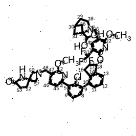 COc1nc(-c2cccc(-c3cccc4c3CC[C@@H]4Oc3nc(OC)c(CN4CCC5CC4(C(O)O)C5)cc3C(F)(F)F)c2Cl)ccc1CN1CC2(CCC(=O)N2)C1